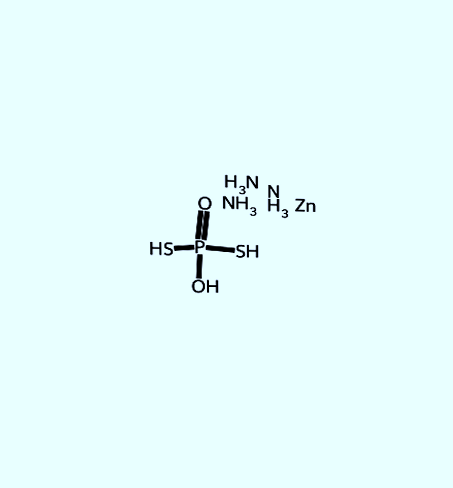 N.N.N.O=P(O)(S)S.[Zn]